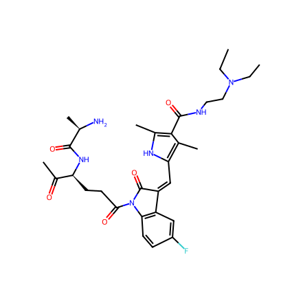 CCN(CC)CCNC(=O)c1c(C)[nH]c(/C=C2\C(=O)N(C(=O)CC[C@H](NC(=O)[C@@H](C)N)C(C)=O)c3ccc(F)cc32)c1C